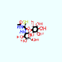 CC(=O)N[C@@H](CS)C(=O)N[C@H]1[C@@H](OC2[C@H](O)[C@H](O)C(O)[C@H](O)[C@H]2O)O[C@H](CO)[C@@H](O)[C@@H]1O